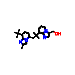 Cc1cn2c(CC(C)(C)c3cccn4c(CO)cnc34)ccc(C(C)(C)C)c2n1